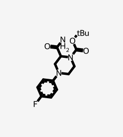 CC(C)(C)OC(=O)N1CCN(c2ccc(F)cc2)CC1C(N)=O